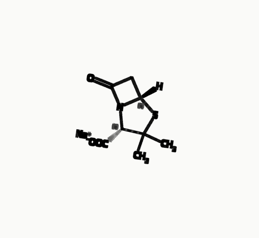 CC1(C)S[C@H]2CC(=O)N2[C@H]1C(=O)[O-].[Na+]